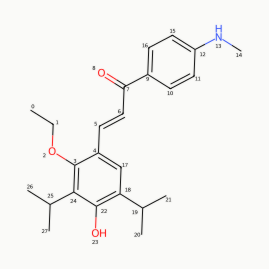 CCOc1c(C=CC(=O)c2ccc(NC)cc2)cc(C(C)C)c(O)c1C(C)C